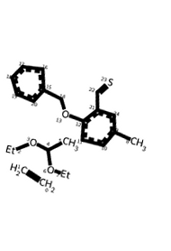 C=C.CCOC(C)OCC.Cc1ccc(OCc2ccccc2)c(C=S)c1